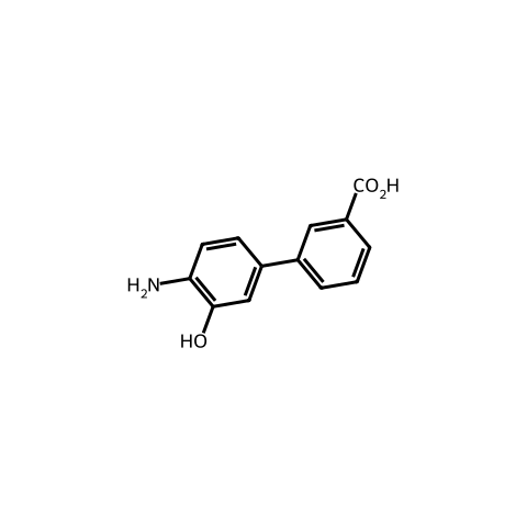 Nc1ccc(-c2cccc(C(=O)O)c2)cc1O